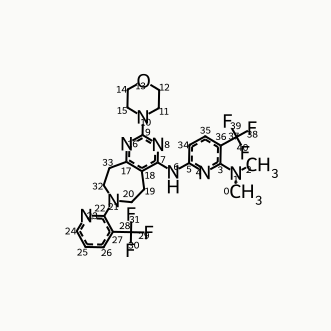 CN(C)c1nc(Nc2nc(N3CCOCC3)nc3c2CCN(c2ncccc2C(F)(F)F)CC3)ccc1C(F)(F)F